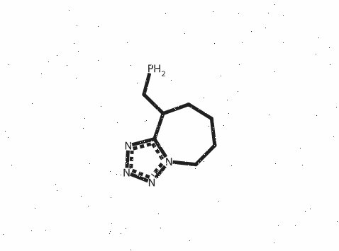 PCC1CCCCn2nnnc21